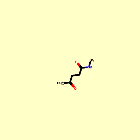 CC(C)NC(=O)CCC(=O)C=O